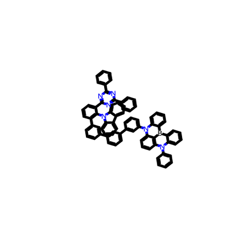 c1ccc(-c2nc(-c3ccccc3)nc(-c3cccc(-c4cccc(-c5cccc(-c6cccc(N7c8ccccc8B8c9ccccc9N(c9ccccc9)c9cccc7c98)c6)c5)c4)c3-n3c4ccccc4c4ccccc43)n2)cc1